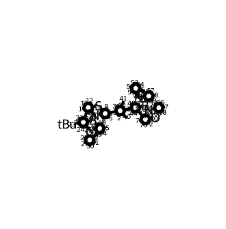 Cc1cc(-c2ccc3c(c2)Sc2cccc4c2N3B2c3c-4cc(C(C)(C)C)cc3-n3c4ccccc4c4cccc2c43)cc(C)c1-c1cc2c3c(c1)-n1c4ccccc4c4cccc(c41)B3N1c3ccccc3Oc3cccc-2c31